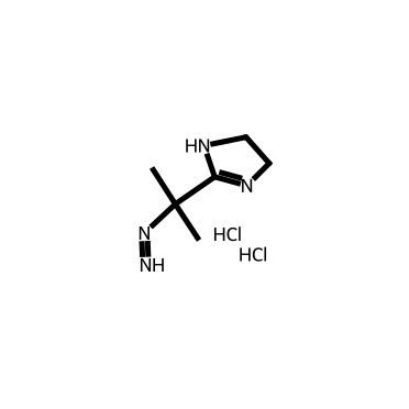 CC(C)(N=N)C1=NCCN1.Cl.Cl